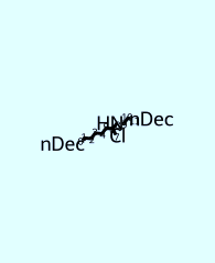 CCCCCCCCCCCCCCCC(Cl)NCCCCCCCCCCCC